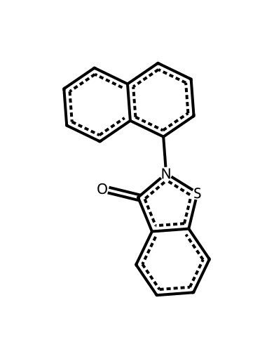 O=c1c2ccccc2sn1-c1cccc2ccccc12